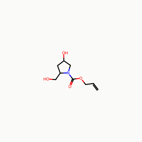 C=CCOC(=O)N1CC(O)CC1CO